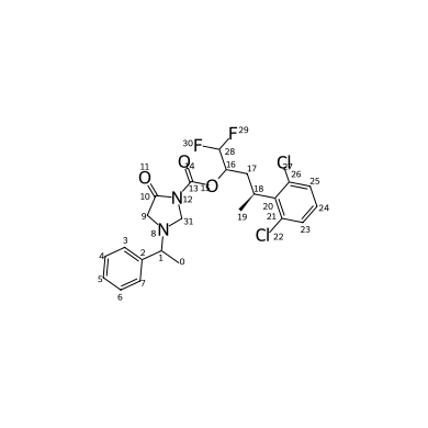 CC(c1ccccc1)N1CC(=O)N(C(=O)OC(C[C@H](C)c2c(Cl)cccc2Cl)C(F)F)C1